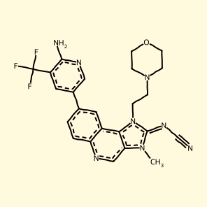 Cn1c(=NC#N)n(CCN2CCOCC2)c2c3cc(-c4cnc(N)c(C(F)(F)F)c4)ccc3ncc21